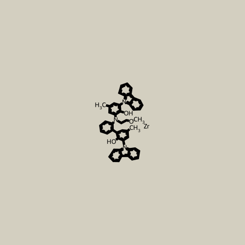 COCCN(c1ccccc1-c1cc(C)cc(-n2c3ccccc3c3ccccc32)c1O)c1cc(C)cc(-n2c3ccccc3c3ccccc32)c1O.[Zr]